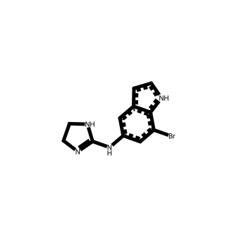 Brc1cc(NC2=NCCN2)cc2cc[nH]c12